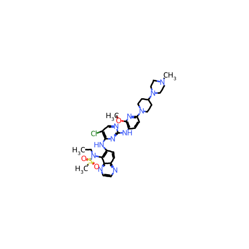 CCN(c1c(Nc2nc(Nc3ccc(N4CCC(N5CCN(C)CC5)CC4)nc3OC)ncc2Cl)ccc2nccnc12)S(C)(=O)=O